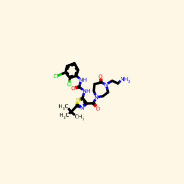 CC(C)(C)c1nc(C(=O)N2CCC(=O)N(CCN)CC2)c(NC(=O)Nc2cccc(Cl)c2Cl)s1